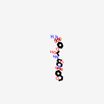 NS(=O)(=O)c1cccc(OCC(O)CNC2COC3(CCN(S(=O)(=O)c4ccc5c(c4)CCCO5)CC3)C2)c1